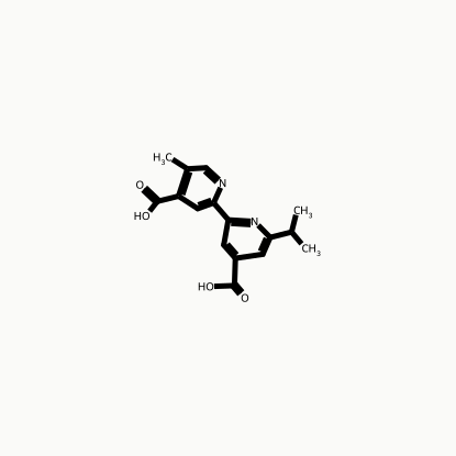 Cc1cnc(-c2cc(C(=O)O)cc(C(C)C)n2)cc1C(=O)O